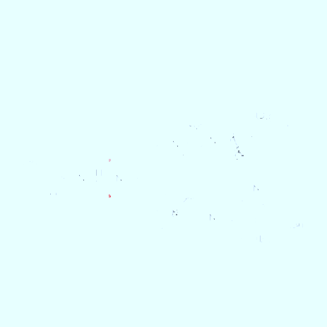 C/C=C1/C2=CCC3C4=C2C2(N5CCN(C(=O)OC(C)(C)C)CC5)C1=C1CC5C=CC(C)C6C5C1(N1CCN(C(=O)OC(C)(C)C)CC1)C1=C2C25OC42C2=C4C(=CCC23)c2cccc3c2C4(N2CCN(C(=O)OC(C)(C)C)CC2)C5=C1C36N1CCN(C(=O)OC(C)(C)C)CC1